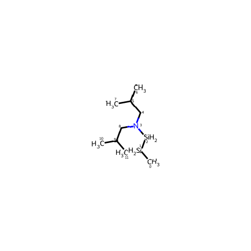 C[SiH2][SiH2]N(CC(C)C)CC(C)C